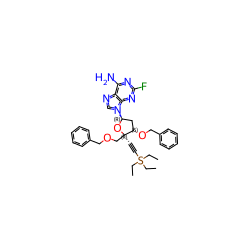 CCS(C#C[C@]1(COCc2ccccc2)O[C@@H](n2cnc3c(N)nc(F)nc32)C[C@@H]1OCc1ccccc1)(CC)CC